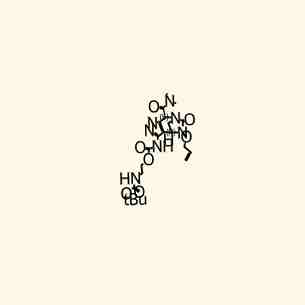 C=CCON1C(=O)N2C[C@H]1c1c(NC(=O)OCCNC(=O)OC(C)(C)C)nn(C)c1[C@H]2C(=O)N(C)C